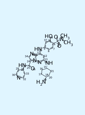 CN(C)S(=O)(=O)c1ccc(Nc2cc(N[C@H]3CC[C@H](N)CC3)nn3c(C(=O)Nc4ccncc4)cnc23)cc1O